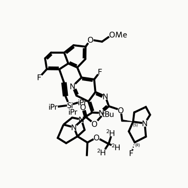 [2H]C([2H])([2H])OC(C)C12CCC(CN(c3nc(OC[C@@]45CCCN4C[C@H](F)C5)nc4c(F)c(-c5cc(OCOC)cc6ccc(F)c(C#C[Si](C(C)C)(C(C)C)C(C)C)c56)ncc34)C1)N2C(=O)OC(C)(C)C